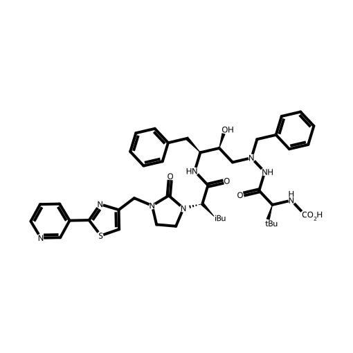 CC[C@H](C)[C@@H](C(=O)N[C@@H](Cc1ccccc1)[C@@H](O)CN(Cc1ccccc1)NC(=O)[C@@H](NC(=O)O)C(C)(C)C)N1CCN(Cc2csc(-c3cccnc3)n2)C1=O